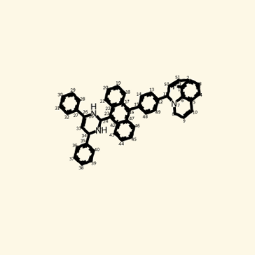 Fc1c2ccc3c1N(CC=C3)C(c1ccc(-c3c4ccccc4c(C4NC(c5ccccc5)=CC(c5ccccc5)N4)c4ccccc34)cc1)C=C2